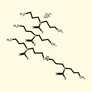 CCCCN(CCCC)C(=S)[S-].CCCCN(CCCC)C(=S)[S-].CCCCN(CCCC)C(=S)[S-].CCCCN(CCCC)C(=S)[S-].[Cu+2].[Cu+2]